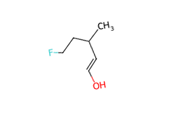 CC(C=CO)CCF